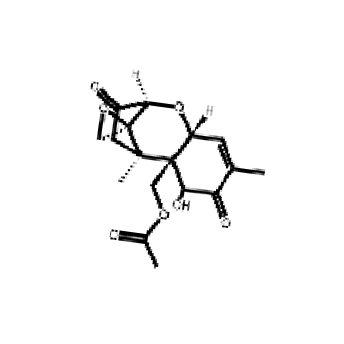 CC(=O)OC[C@]12C(O)C(=O)C(C)=C[C@H]1O[C@@H]1C(=O)C[C@@]2(C)[C@]12CO2